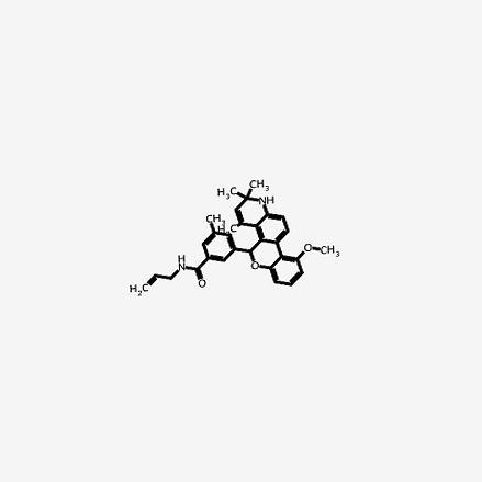 C=CCNC(=O)c1cc(C)cc(C2Oc3cccc(OC)c3-c3ccc4c(c32)C(C)=CC(C)(C)N4)c1